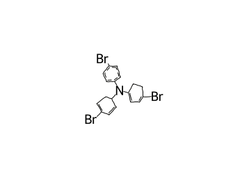 BrC1=CCC(N(C2=CC=C(Br)CC2)c2ccc(Br)cc2)C=C1